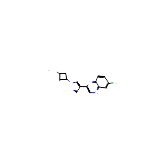 O=CC1CC(n2cc(-c3cnc4cc(Br)ccc4n3)cn2)C1